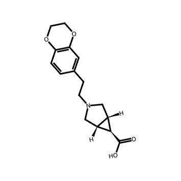 O=C(O)[C@H]1[C@@H]2CN(CCc3ccc4c(c3)OCCO4)C[C@@H]21